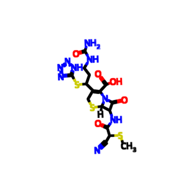 CSC(C#N)C(=O)NC1C(=O)N2C(C(=O)O)=C(C(CCNC(N)=O)Sc3nnn[nH]3)CS[C@@H]12